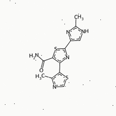 Cc1nc(-c2nc(-c3s[c]nc3C)c(C(N)=O)s2)c[nH]1